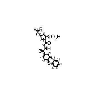 O=C(NCC(=O)N1CC(OC(F)F)C[C@H]1C(=O)O)C1=CC=C2Sc3ccccc3OC2C1